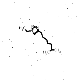 CCn1cc(CCCCCC(C)C)nn1